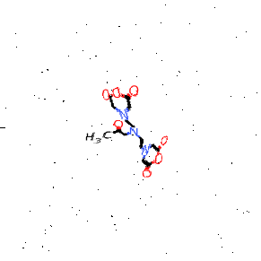 CC(=O)CN(CCN1CC(=O)OC(=O)C1)CCN1CC(=O)OC(=O)C1